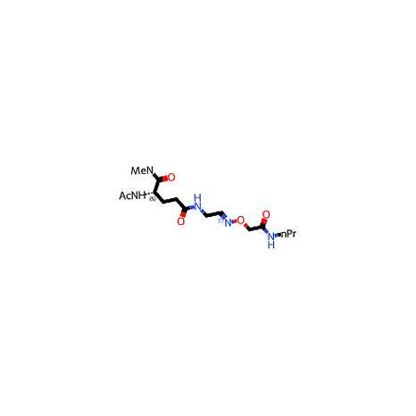 CCCNC(=O)CO/N=C/CNC(=O)CC[C@H](NC(C)=O)C(=O)NC